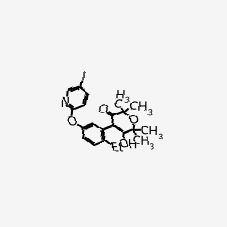 CCc1ccc(Oc2ccc(I)cn2)cc1C1=C(O)C(C)(C)OC(C)(C)C1=O